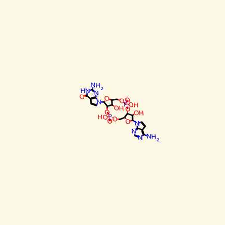 Nc1nc2c(ccn2C2OC3COP(=O)(O)OC4C(COP(=O)(O)OC2C3O)OC(n2ccc3c(N)ncnc32)C4O)c(=O)[nH]1